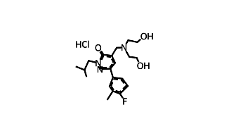 Cc1cc(-c2cc(CN(CCO)CCO)c(=O)n(CC(C)C)n2)ccc1F.Cl